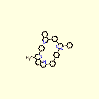 Cc1cc(-c2ccccc2)nc2c1ccc1ccc(-c3cccc(-c4ccc(-c5nc(-c6ccccc6)cc(-c6cccc(-c7cncc8ccccc78)c6)n5)cc4)c3)nc12